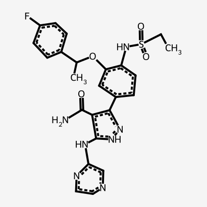 CCS(=O)(=O)Nc1ccc(-c2n[nH]c(Nc3cnccn3)c2C(N)=O)cc1OC(C)c1ccc(F)cc1